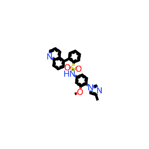 COc1cc(NS(=O)(=O)c2ccccc2-c2cccc3ncccc23)ccc1-n1cnc(C)c1